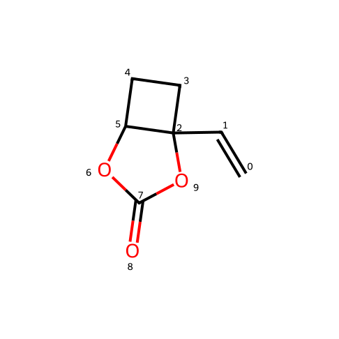 C=CC12CCC1OC(=O)O2